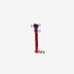 CNC(=O)CCOCCOCCOCCOCCOCCOCCOCCOCCOCCOCCNC(=O)CCCC[C@@H]1SC[C@@H]2NC(=O)N[C@@H]21